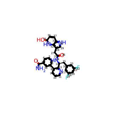 NC(=O)c1cccc(-c2cccnc2[C@H](Cc2cc(F)cc(F)c2)NC(=O)Cc2c[nH]c3c2NC(O)C=C3)c1